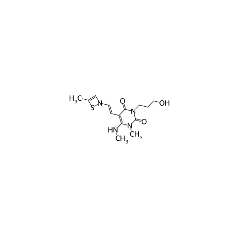 CNc1c(/C=C/n2cc(C)s2)c(=O)n(CCCO)c(=O)n1C